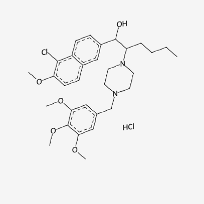 CCCCC(C(O)c1ccc2c(Cl)c(OC)ccc2c1)N1CCN(Cc2cc(OC)c(OC)c(OC)c2)CC1.Cl